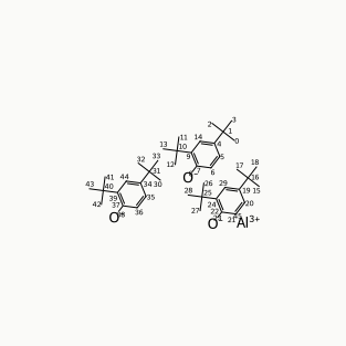 CC(C)(C)c1ccc([O-])c(C(C)(C)C)c1.CC(C)(C)c1ccc([O-])c(C(C)(C)C)c1.CC(C)(C)c1ccc([O-])c(C(C)(C)C)c1.[Al+3]